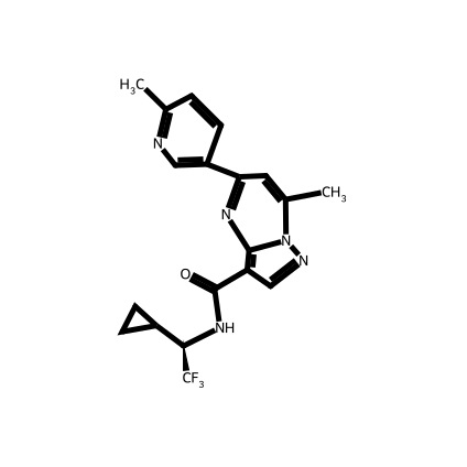 Cc1ccc(-c2cc(C)n3ncc(C(=O)N[C@H](C4CC4)C(F)(F)F)c3n2)cn1